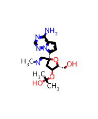 CN=C[C@]1(c2ccc3c(N)ncnn23)C[C@H](OC(C)(C)O)[C@@H](CO)O1